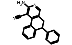 N#Cc1c(N)ncc2c1-c1ccccc1C(c1ccccc1)C2